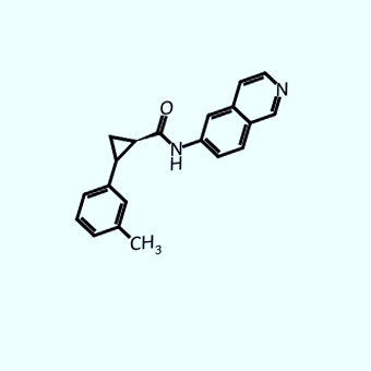 Cc1cccc(C2C[C@H]2C(=O)Nc2ccc3cnccc3c2)c1